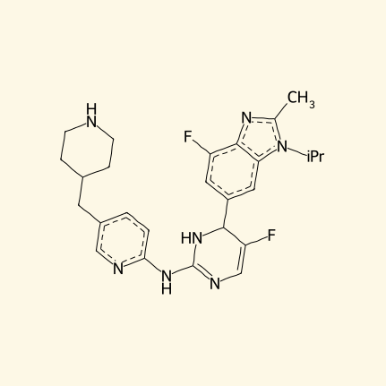 Cc1nc2c(F)cc(C3NC(Nc4ccc(CC5CCNCC5)cn4)=NC=C3F)cc2n1C(C)C